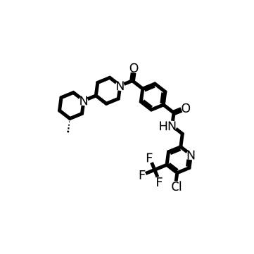 C[C@@H]1CCCN(C2CCN(C(=O)c3ccc(C(=O)NCc4cc(C(F)(F)F)c(Cl)cn4)cc3)CC2)C1